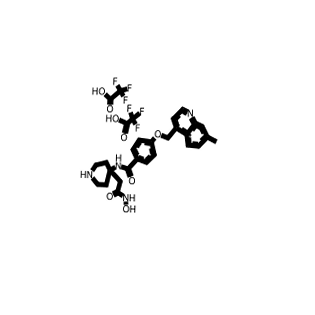 Cc1ccc2c(COc3ccc(C(=O)NC4(CC(=O)NO)CCNCC4)cc3)ccnc2c1.O=C(O)C(F)(F)F.O=C(O)C(F)(F)F